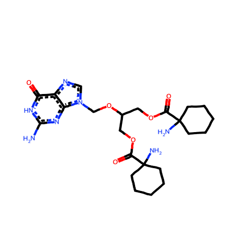 Nc1nc2c(ncn2COC(COC(=O)C2(N)CCCCC2)COC(=O)C2(N)CCCCC2)c(=O)[nH]1